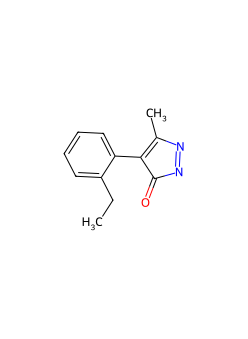 CCc1ccccc1C1=C(C)N=NC1=O